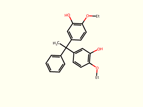 CCOc1ccc(C(C)(c2ccccc2)c2ccc(OCC)c(O)c2)cc1O